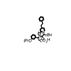 CCCCC(C(=O)N[C@@H](CC(=O)O)c1cccc(OC(C)C)c1)n1ccc(CCc2ccccc2)cc1=O